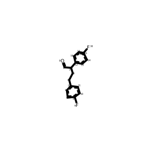 O=CC(CCc1ccc(F)cc1)c1ccc(F)cc1